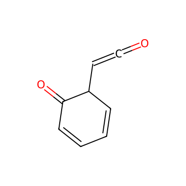 O=C=CC1C=CC=CC1=O